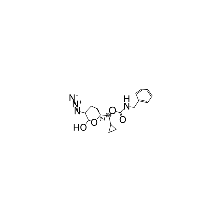 [N-]=[N+]=NC1CC[C@@H]([C@@H](OC(=O)NCc2ccccc2)C2CC2)OC1O